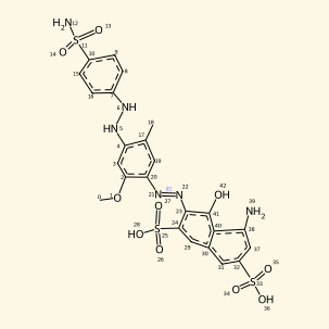 COc1cc(NNc2ccc(S(N)(=O)=O)cc2)c(C)cc1/N=N/c1c(S(=O)(=O)O)cc2cc(S(=O)(=O)O)cc(N)c2c1O